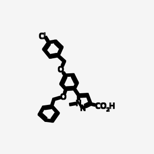 Cn1nc(C(=O)O)cc1-c1ccc(OCc2ccc(Cl)cc2)cc1OCc1ccccc1